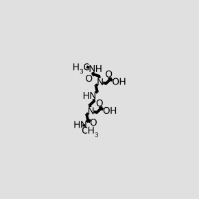 CNC(=O)CN(CCNCCN(CC(=O)O)CC(=O)NC)CC(=O)O